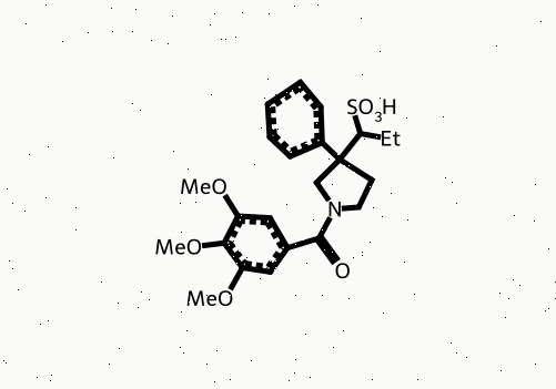 CCC(C1(c2ccccc2)CCN(C(=O)c2cc(OC)c(OC)c(OC)c2)C1)S(=O)(=O)O